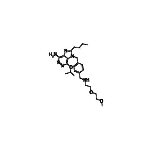 CCCCc1nc2c(N)nnc(OC(C)C)c2n1Cc1ccc(CNCCOCCOC)cc1